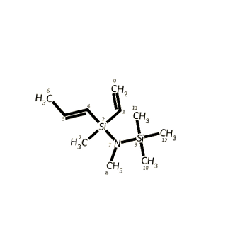 C=C[Si](C)(C=CC)N(C)[Si](C)(C)C